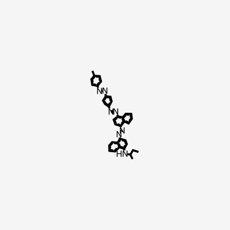 CCC(C)Nc1ccc(/N=N/c2ccc(/N=N/c3ccc(/N=N/c4ccc(C)cc4)cc3)c3ccccc23)c2ccccc12